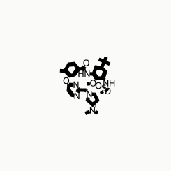 COc1c(NC(=O)c2ccc(C)c(Oc3ccnc(CN4CC[C@H](N(C)C)C4)n3)c2)cc(C(C)(C)C)cc1NS(C)(=O)=O